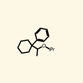 CC(C)OC(C)C1(c2ccccc2)CCCCC1